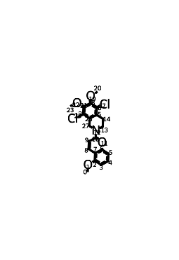 COc1ccccc1/C=C\C(=O)N1CCc2c(Cl)c(OC)c(OC)c(Cl)c2C1